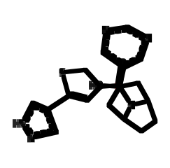 O=C(C1C=C(c2cn[nH]c2)SC1)N1C2CCC1CC(O)(c1cncnc1)C2